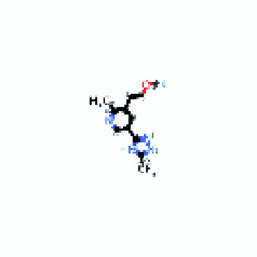 CCOC=Cc1cc(-c2nnc(C(F)(F)F)[nH]2)cnc1C